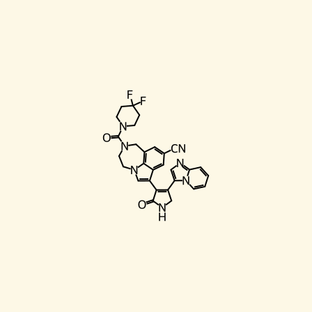 N#Cc1cc2c3c(c1)c(C1=C(c4cnc5ccccn45)CNC1=O)cn3CCN(C(=O)N1CCC(F)(F)CC1)C2